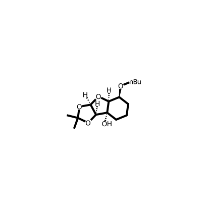 CCCCO[C@H]1CCC[C@@]2(O)[C@H]3OC(C)(C)O[C@H]3O[C@@H]12